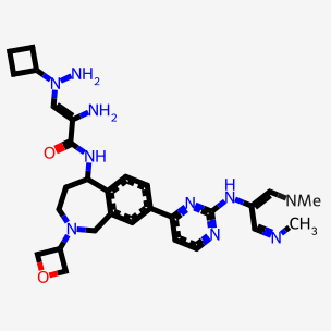 C/N=C\C(=C/NC)Nc1nccc(-c2ccc3c(c2)CN(C2COC2)CCC3NC(=O)/C(N)=C/N(N)C2CCC2)n1